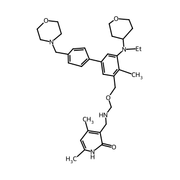 CCN(c1cc(-c2ccc(CN3CCOCC3)cc2)cc(COCNCc2c(C)cc(C)[nH]c2=O)c1C)C1CCOCC1